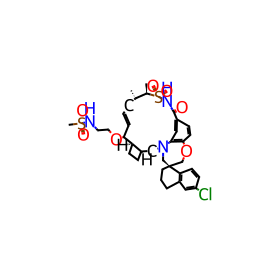 C[C@@H]1[C@@H](C)C/C=C/[C@H](OCCNS(C)(=O)=O)[C@@H]2CC[C@H]2CN2C[C@@]3(CCCc4cc(Cl)ccc43)COc3ccc(cc32)C(=O)NS1(=O)=O